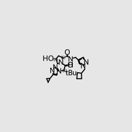 CC(C)(C)[C@@H](C(=O)N1C[C@H](O)C[C@H]1C(=O)NCc1cnn(CC2CCC2)c1)n1cc(C2CC2)nn1